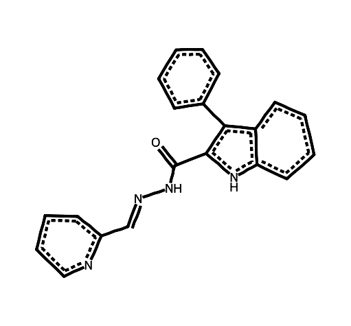 O=C(NN=Cc1ccccn1)c1[nH]c2ccccc2c1-c1ccccc1